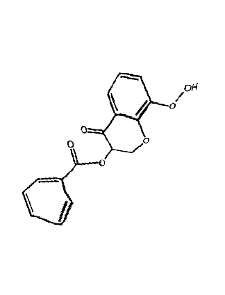 O=C(OC1COc2c(OO)cccc2C1=O)c1ccccc1